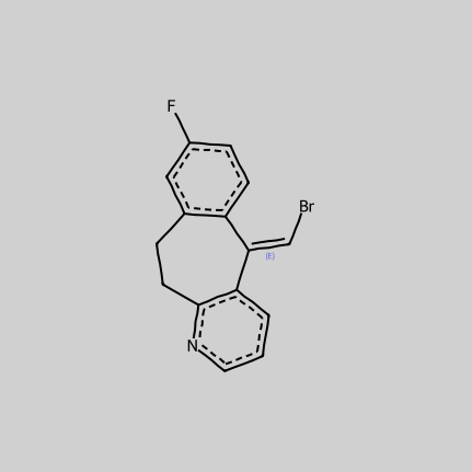 Fc1ccc2c(c1)CCc1ncccc1/C2=C/Br